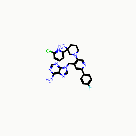 Nc1ncnc2c1ncn2Cc1cc(-c2ccc(F)cc2)ncc1N1CCCC(N)(c2cccc(Cl)n2)C1